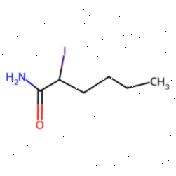 CCCCC(I)C(N)=O